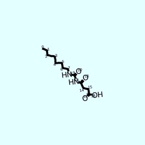 CCCCCCCCNC(=O)NC(=O)CCC(=O)O